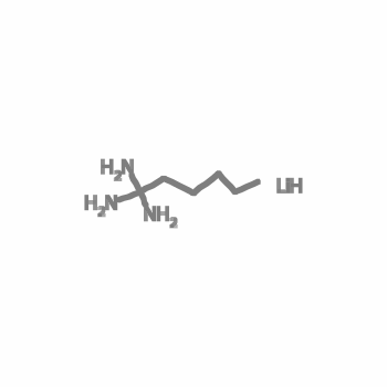 CCCCCC(N)(N)N.[LiH]